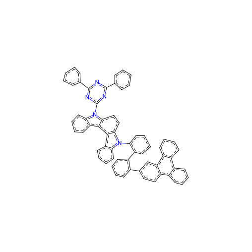 c1ccc(-c2nc(-c3ccccc3)nc(-n3c4ccccc4c4c5c6ccccc6n(-c6ccccc6-c6ccccc6-c6ccc7c8ccccc8c8ccccc8c7c6)c5ccc43)n2)cc1